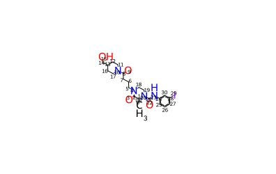 C[C@H]1C(=O)N(CCCC(=O)N2CCC(CO)CC2)CCN1C(=O)Nc1cccc(I)c1